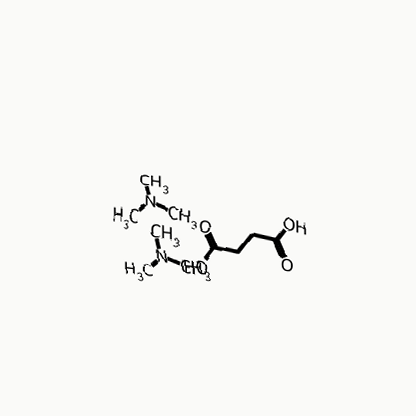 CN(C)C.CN(C)C.O=C(O)CCC(=O)O